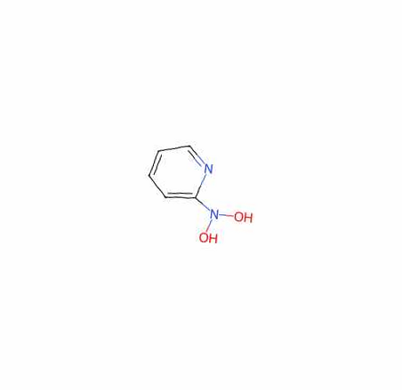 ON(O)c1ccccn1